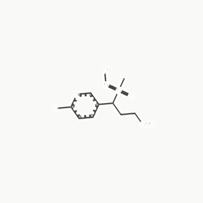 COCCC(c1ccc(Cl)nc1)S(C)(=O)=NC#N